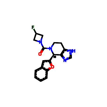 O=C(N1CC(F)C1)N1CCc2[nH]cnc2[C@H]1c1cc2ccccc2o1